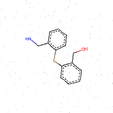 [NH]Cc1ccccc1Sc1ccccc1CO